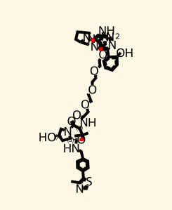 Cc1ncsc1-c1ccc(CNC(=O)[C@@H]2C[C@@H](O)CN2C(=O)[C@@H](NC(=O)COCCOCCOCCOc2cncc(N3C4CCC3CN(c3cc(-c5ccccc5O)nnc3N)C4)n2)C(C)(C)C)cc1